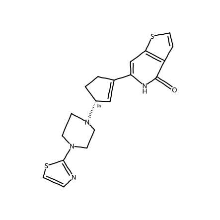 O=c1[nH]c(C2=C[C@H](N3CCN(c4nccs4)CC3)CC2)cc2sccc12